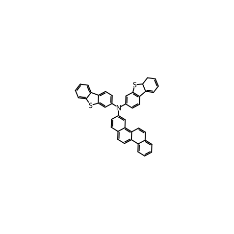 C1=CCC2Sc3cc(N(c4ccc5c(c4)sc4ccccc45)c4ccc5ccc6c7ccccc7ccc6c5c4)ccc3C2=C1